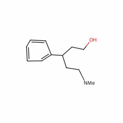 CNCCC(CCO)c1ccccc1